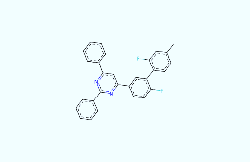 Cc1ccc(-c2cc(-c3cc(-c4ccccc4)nc(-c4ccccc4)n3)ccc2F)c(F)c1